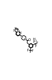 CC(F)(F)c1cc(CC(=O)N2CCN(c3ccc4nncn4n3)CC2)cc(C(F)(F)P)c1